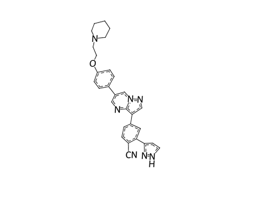 N#Cc1ccc(-c2cnn3cc(-c4ccc(OCCN5CCCCC5)cc4)cnc23)cc1-c1cc[nH]n1